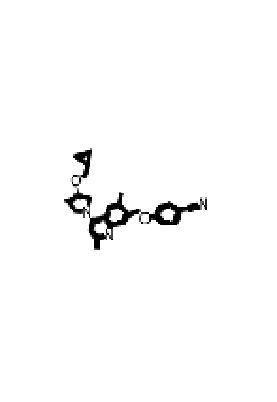 Cc1cc(N2CC[C@H](OCC3CC3)C2)c2cc(C)c(COc3ccc(C#N)cc3)cc2n1